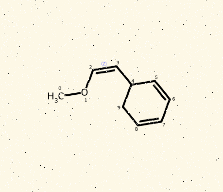 CO/C=C\C1C=CC=CC1